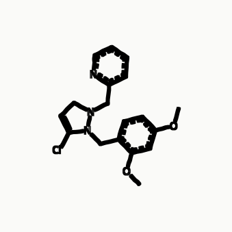 COc1ccc(CN2C(Cl)=CCN2Cc2ccccn2)c(OC)c1